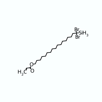 C=CC(=O)OCCCCCCCCCCCCCCCCC([SiH3])(Br)Br